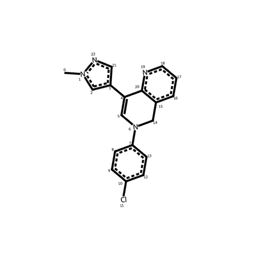 Cn1cc(C2=CN(c3ccc(Cl)cc3)Cc3cccnc32)cn1